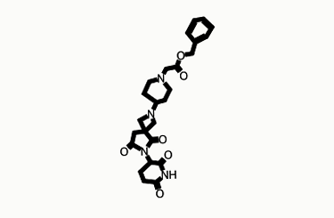 O=C1CCC(N2C(=O)CC3(CN(C4CCN(CC(=O)OCc5ccccc5)CC4)C3)C2=O)C(=O)N1